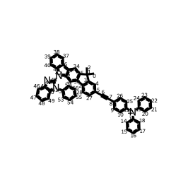 CC1(C)c2cc(C#Cc3ccc(N(c4ccccc4)c4ccccc4)cc3)ccc2-c2cc3c(cc21)c1ccccc1n3-c1nc2ccccc2n1-c1ccccc1